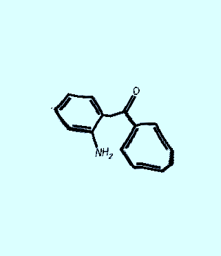 Nc1c[c]ccc1C(=O)c1ccccc1